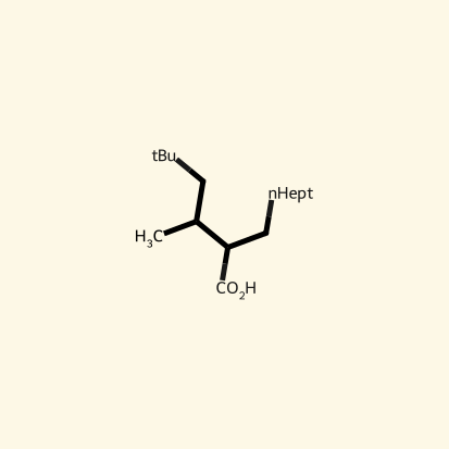 CCCCCCCCC(C(=O)O)C(C)CC(C)(C)C